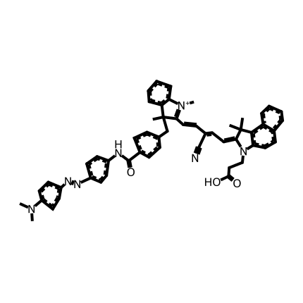 CN(C)c1ccc(/N=N/c2ccc(NC(=O)c3ccc(CC4(C)C(/C=C/C(C#N)=C/C=C5/N(CCC(=O)O)c6ccc7ccccc7c6C5(C)C)=[N+](C)c5ccccc54)cc3)cc2)cc1